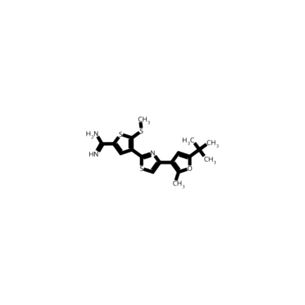 CSc1sc(C(=N)N)cc1-c1nc(-c2cc(C(C)(C)C)oc2C)cs1